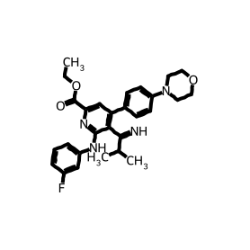 CCOC(=O)c1cc(-c2ccc(N3CCOCC3)cc2)c(C(=N)C(C)C)c(Nc2cccc(F)c2)n1